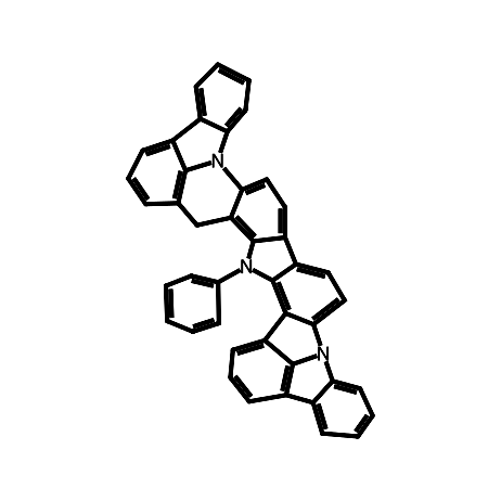 c1ccc(-n2c3c4c(ccc3c3ccc5c(c6cccc7c8ccccc8n5c76)c32)-n2c3ccccc3c3cccc(c32)C4)cc1